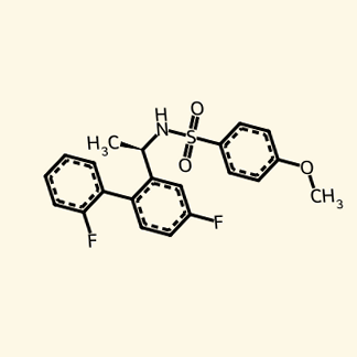 COc1ccc(S(=O)(=O)N[C@H](C)c2cc(F)ccc2-c2ccccc2F)cc1